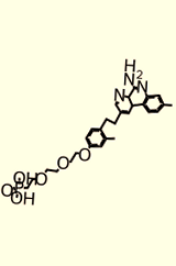 Cc1ccc2c(c1)N=C(N)C1N=CC(CCc3ccc(OCCOCCOCCP(=O)(O)O)cc3C)=CC21